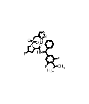 CC(C)c1c(F)cc(C(NC(=O)C2CC(F)CN2S(=O)(=O)Cc2cnn[nH]2)c2ccccc2)cc1F